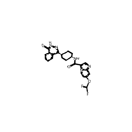 O=C(N[C@H]1CC[C@H](c2n[nH]c(=O)c3ccccc32)CC1)c1cnc2cc(OC(F)F)ccn12